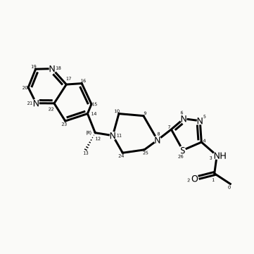 CC(=O)Nc1nnc(N2CCN([C@H](C)c3ccc4nccnc4c3)CC2)s1